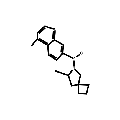 Cc1ccnc2cc([S+]([O-])N3CC4(CCC4)CC3C)ccc12